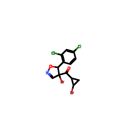 O=C(C1CC1Br)C1(Br)C=NOC1c1ccc(Cl)cc1Cl